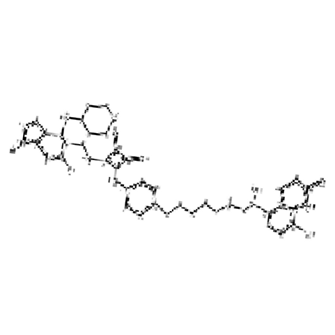 CCc1nc2c(cnn2CC)c(NC2CCOCC2)c1CNc1c(Nc2ccc(CCCCCNC[C@H](O)c3ccc(O)c4[nH]c(=O)ccc34)cc2)c(=O)c1=O